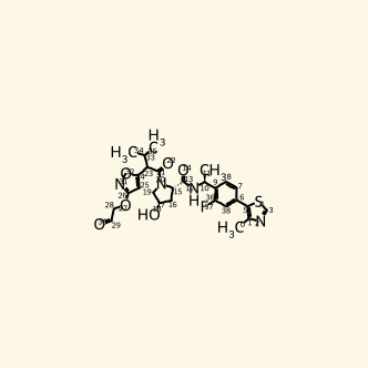 Cc1ncsc1-c1ccc([C@H](C)NC(=O)[C@@H]2C[C@@H](O)CN2C(=O)C(c2cc(OCC=O)no2)C(C)C)c(F)c1